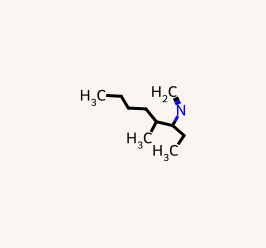 C=NC(CC)C(C)CCCC